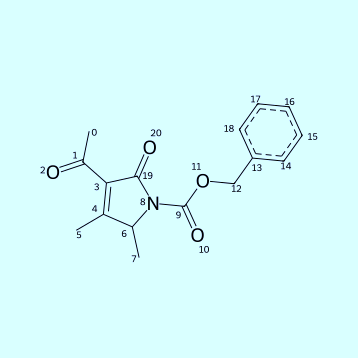 CC(=O)C1=C(C)C(C)N(C(=O)OCc2ccccc2)C1=O